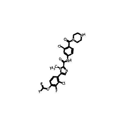 Cn1c(-c2ccc(OC(F)F)c(F)c2Cl)cnc1C(=O)Nc1ccc(C(=O)N2CCNCC2)c(Cl)c1